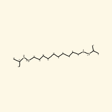 CC(C)SSCCCCCCCCCCSSC(C)C